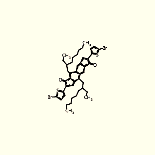 CCCCCCC(CC)Cc1c2cc3c(=O)c(-c4ccc(Br)s4)cc3cc2c(CC(CC)CCCCCC)c2c(=O)c(-c3ccc(Br)s3)cc12